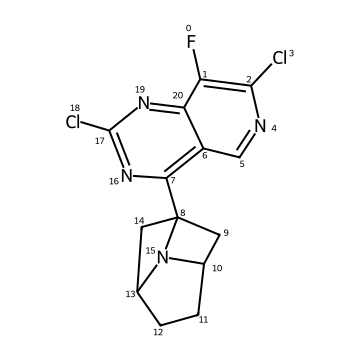 Fc1c(Cl)ncc2c(C34CC5CCC(C3)N54)nc(Cl)nc12